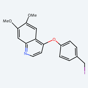 COc1cc2nccc(Oc3ccc(CI)cc3)c2cc1OC